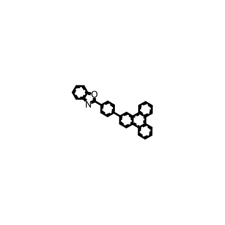 c1ccc2oc(-c3ccc(-c4ccc5c6ccccc6c6ccccc6c5c4)cc3)nc2c1